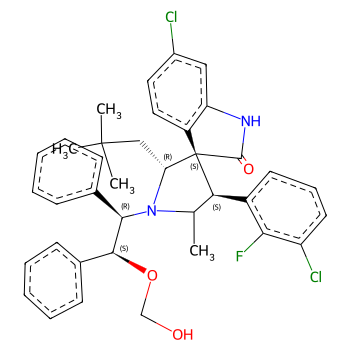 CC1[C@H](c2cccc(Cl)c2F)[C@@]2(C(=O)Nc3cc(Cl)ccc32)[C@@H](CC(C)(C)C)N1[C@H](c1ccccc1)[C@@H](OCO)c1ccccc1